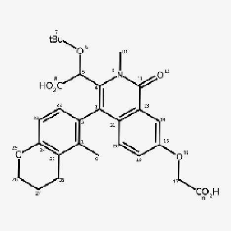 Cc1c(-c2c(C(OC(C)(C)C)C(=O)O)n(C)c(=O)c3cc(OCC(=O)O)ccc23)ccc2c1CCCO2